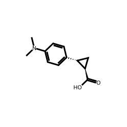 CN(C)c1ccc([C@@H]2C[C@H]2C(=O)O)cc1